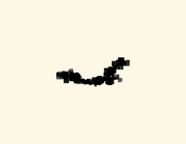 Nc1nccn2c(N3CCC4(CC3)CN(CCCCNc3ccc5c(c3)CN(C3CCC(=O)NC3=O)C5=O)C4)nc(-c3ccc(C(=O)Nc4cc(Cl)ccn4)cc3F)c12